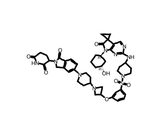 O=C1CCC(N2Cc3cc(N4CCC(N5CC(Oc6cccc(S(=O)(=O)N7CCC(Nc8ncc9c(n8)N([C@@H]8CCC[C@@H](O)C8)C(=O)C98CC8)CC7)c6)C5)CC4)ccc3C2=O)C(=O)N1